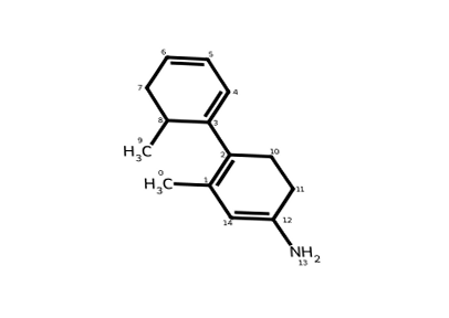 CC1=C(C2=CC=CCC2C)CCC(N)=C1